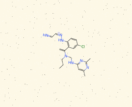 C=C(c1cc(Cl)ccc1N/N=C\C=N)N(CCC)CNc1cc(C)nc(C)n1